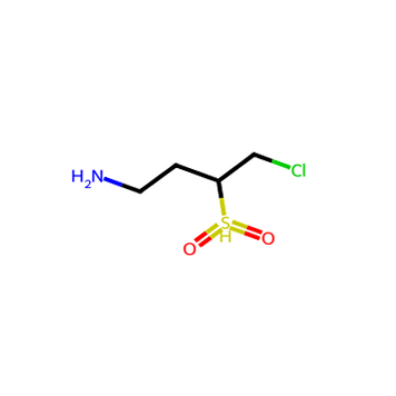 NCCC(CCl)[SH](=O)=O